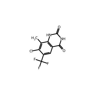 Cc1c(Cl)c(C(F)(F)F)cc2c(=O)[nH]c(=O)[nH]c12